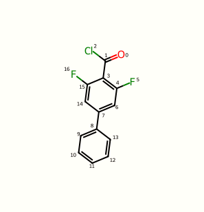 O=C(Cl)c1c(F)cc(-c2ccccc2)cc1F